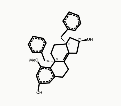 COc1cc(O)cc2c1[C@@]1(Cc3ccccc3)CC[C@@]3(Cc4ccccc4)C[C@@H](O)CC3=C1CC2